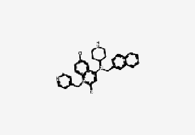 O=c1cc(N(Cc2ccc3ccccc3c2)C2CCNCC2)c2cc(Cl)ccc2n1Cc1ccncc1